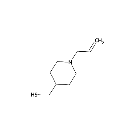 C=CCN1CCC(CS)CC1